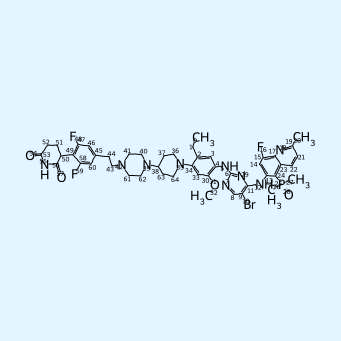 CCc1cc(Nc2ncc(Br)c(Nc3cc(F)c4nc(C)ccc4c3P(C)(C)=O)n2)c(OC)cc1N1CCC(N2CCN(CCc3cc(F)c(C4CCC(=O)NC4=O)c(F)c3)CC2)CC1